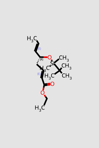 C/C=C/[C@@H](C/C=C/C(=O)OCC)O[Si](C)(C)C(C)(C)C